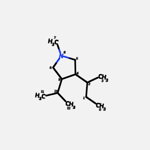 CCC(C)C1CN(C)CC1C(C)C